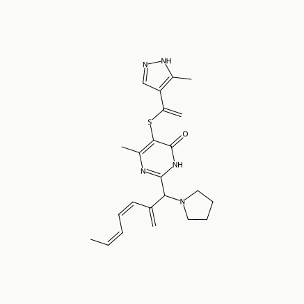 C=C(Sc1c(C)nc(C(C(=C)/C=C\C=C/C)N2CCCC2)[nH]c1=O)c1cn[nH]c1C